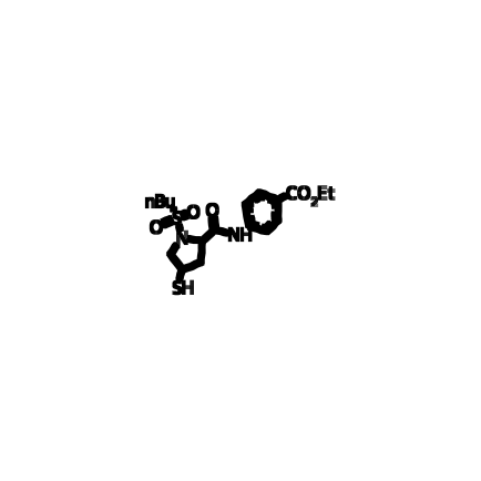 CCCCS(=O)(=O)N1CC(S)CC1C(=O)Nc1ccc(C(=O)OCC)cc1